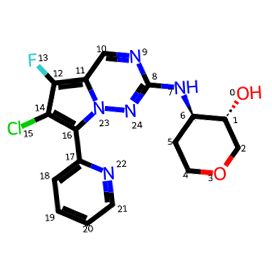 O[C@@H]1COCC[C@H]1Nc1ncc2c(F)c(Cl)c(-c3ccccn3)n2n1